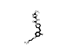 Cc1nsc(NC(=O)N2CCC(=Cc3ccc(OCCCN)cc3F)CC2)n1